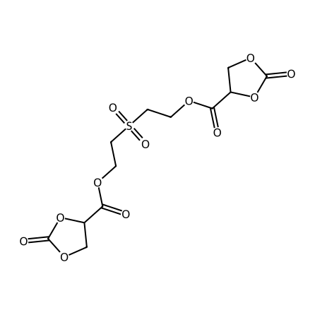 O=C1OCC(C(=O)OCCS(=O)(=O)CCOC(=O)C2COC(=O)O2)O1